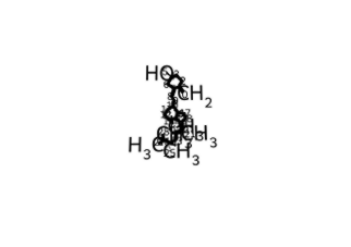 C=C1CC[C@H](O)C/C1=C/C=C1\CCC[C@@]2(C)C1CCC2[C@H](C)/C=C/[C@H](C)C(C)C